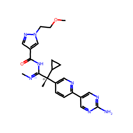 C/N=C(\NC(=O)c1cnn(CCOC)c1)[C@@](C)(c1ccc(-c2cnc(N)nc2)nc1)C1CC1